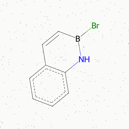 BrB1C=Cc2ccccc2N1